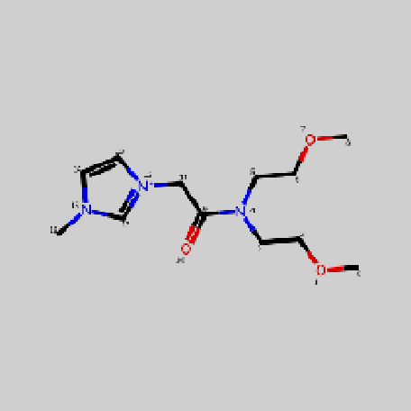 COCCN(CCOC)C(=O)C[n+]1ccn(C)c1